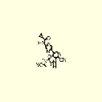 C[C@H](Nc1cc(-c2cnc(NC(=O)C3CC3)cn2)cnc1C#N)C(=O)N(C)[C@@H](C)C#N